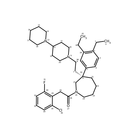 CCc1ccc([C@@]2(CCN3CCC(N4CCCCC4)CC3)CCCCN(C(=O)Cc3c(F)cccc3Cl)C2)cc1CC